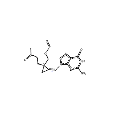 CC(=O)OC[C@]1(COP=O)C/C1=C/n1cnc2c(=O)[nH]c(N)nc21